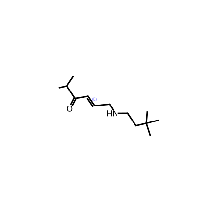 CC(C)C(=O)/C=C/CNCCC(C)(C)C